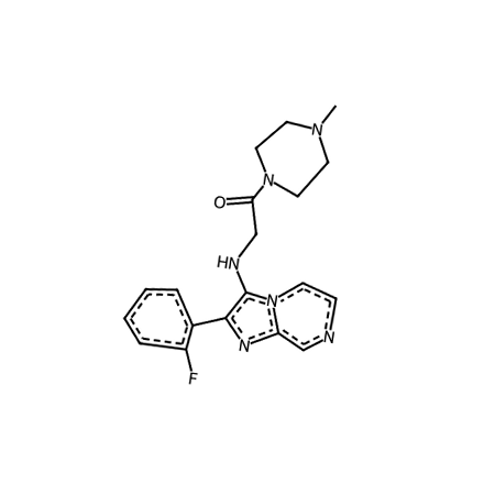 CN1CCN(C(=O)CNc2c(-c3ccccc3F)nc3cnccn23)CC1